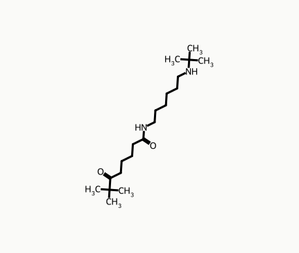 CC(C)(C)NCCCCCCNC(=O)CCCCC(=O)C(C)(C)C